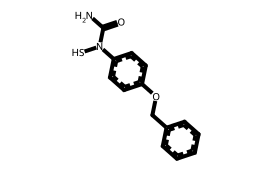 NC(=O)N(S)c1ccc(OCc2ccccc2)cc1